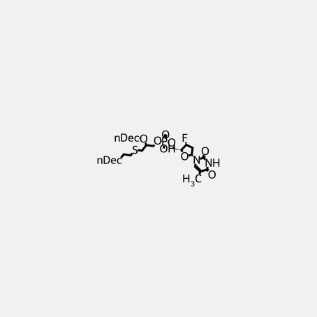 CCCCCCCCCCCCSCC(COP(=O)(O)OC[C@H]1O[C@@H](n2cc(C)c(=O)[nH]c2=O)C[C@@H]1F)OCCCCCCCCCC